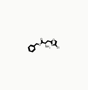 CCc1coc(C[C@H](N)C(=O)OCc2ccccc2)n1